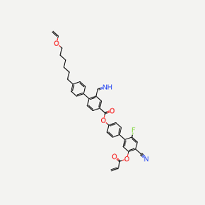 C=COCCCCCCc1ccc(-c2ccc(C(=O)Oc3ccc(-c4cc(OC(=O)C=C)c(C#N)cc4F)cc3)cc2C=N)cc1